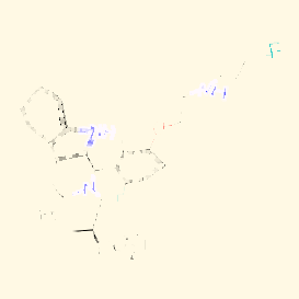 CC[C@@H]1Cc2c([nH]c3ccccc23)C(c2c(F)ccc(OCCNCCCF)c2C)N1CC(C)C(=O)O